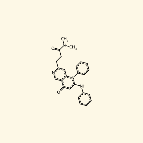 CN(C)C(=O)CCc1cc2c(cn1)c(=O)cc(Nc1ccccc1)n2-c1ccccc1